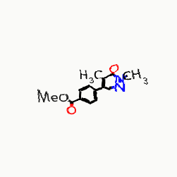 COC(=O)c1ccc(-c2cnn(C)c(=O)c2C)cc1